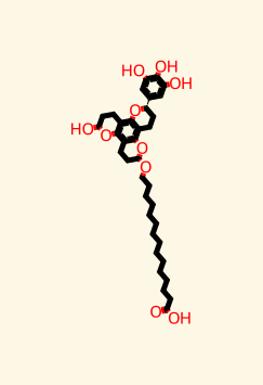 O=C(O)CCCCCCCCCCCCCCOC1CCc2c3c(c4c(c2O1)CC[C@@H](c1cc(O)c(O)c(O)c1)O4)CCC(O)O3